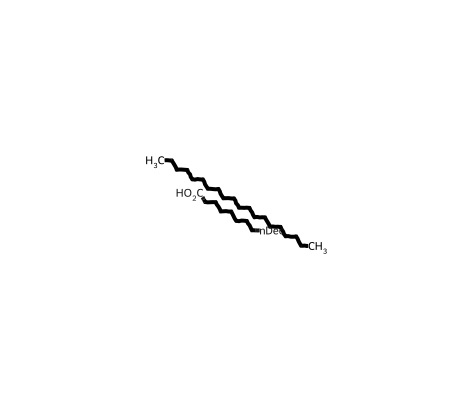 CCCCCCCCCCCCCCCCCC(=O)O.CCCCCCCCCCCCCCCCCCCC